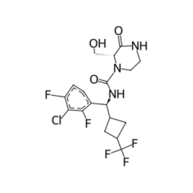 O=C1NCCN(C(=O)N[C@H](c2ccc(F)c(Cl)c2F)C2CC(C(F)(F)F)C2)[C@@H]1CO